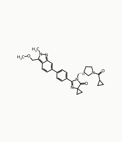 COCc1c2ccc(-c3ccc(C4=NC5(CC5)C(=O)N4C[C@@H]4CCN(C(=O)C5CC5)C4)cc3)cc2nn1C